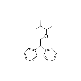 CC(C)C(C)OCC1c2ccccc2-c2ccccc21